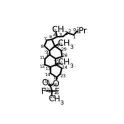 CC(C)CCCC(C)C1CCC2C3CCC4CC(OC(=O)C(C)(F)F)CCC4(C)C3CCC12C